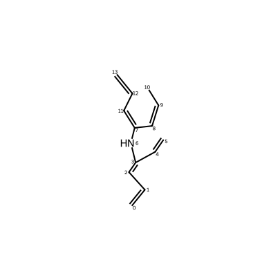 C=C/C=C(\C=C)NC(/C=C\C)=C/C=C